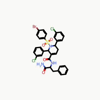 NC(=O)C(Cc1ccccc1)NC(=O)C1=CCC(c2cccc(Cl)c2)N(S(=O)(=O)c2ccc(Br)cc2)C1c1cccc(Cl)c1